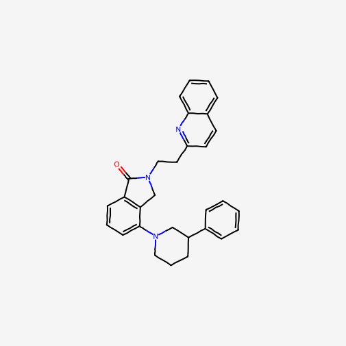 O=C1c2cccc(N3CCCC(c4ccccc4)C3)c2CN1CCc1ccc2ccccc2n1